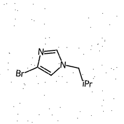 CC(C)Cn1cnc(Br)c1